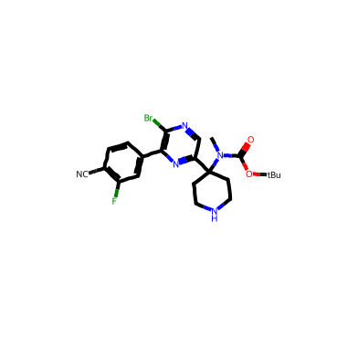 CN(C(=O)OC(C)(C)C)C1(c2cnc(Br)c(-c3ccc(C#N)c(F)c3)n2)CCNCC1